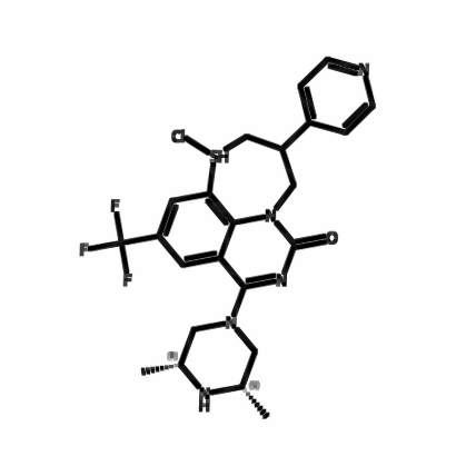 C[C@@H]1CN(c2nc(=O)n3c4c(cc(C(F)(F)F)cc24)[SH](Cl)CC(c2ccncc2)C3)C[C@H](C)N1